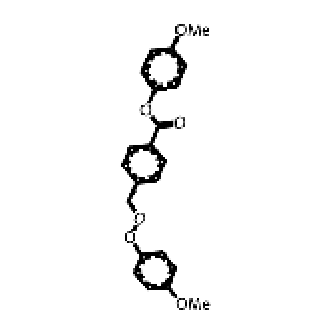 COc1ccc(OOCc2ccc(C(=O)Oc3ccc(OC)cc3)cc2)cc1